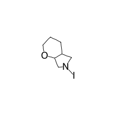 IN1CC2CCCOC2C1